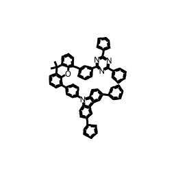 CC1(C)c2cccc(-c3ccc(-n4c5ccc(-c6ccccc6)cc5c5cc(-c6ccccc6)ccc54)cc3)c2Oc2c(-c3cccc(-c4nc(-c5ccccc5)nc(-c5ccccc5)n4)c3)cccc21